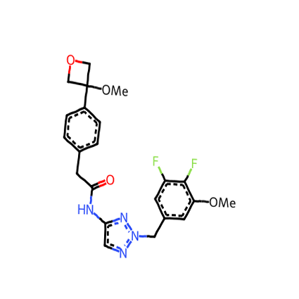 COc1cc(Cn2ncc(NC(=O)Cc3ccc(C4(OC)COC4)cc3)n2)cc(F)c1F